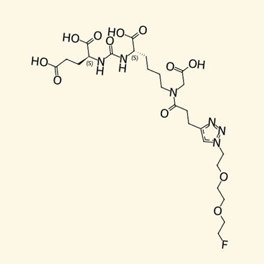 O=C(O)CC[C@H](NC(=O)N[C@@H](CCCCN(CC(=O)O)C(=O)CCc1cn(CCOCCOCCF)nn1)C(=O)O)C(=O)O